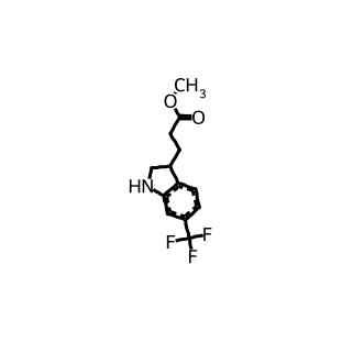 COC(=O)CCC1CNc2cc(C(F)(F)F)ccc21